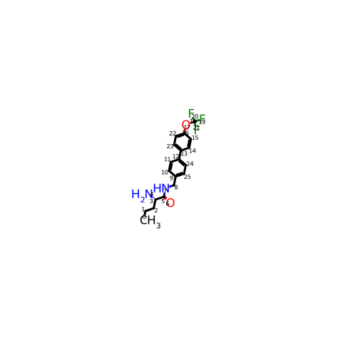 CCC[C@H](N)C(=O)NCc1ccc(-c2ccc(OC(F)(F)F)cc2)cc1